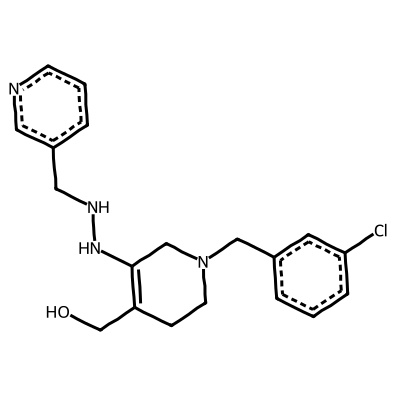 OCC1=C(NNCc2cccnc2)CN(Cc2cccc(Cl)c2)CC1